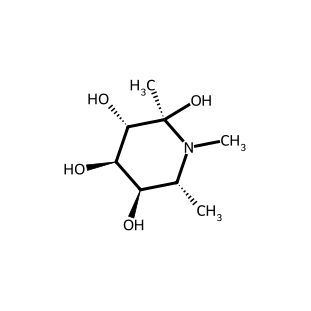 C[C@@H]1[C@@H](O)[C@@H](O)[C@H](O)[C@@](C)(O)N1C